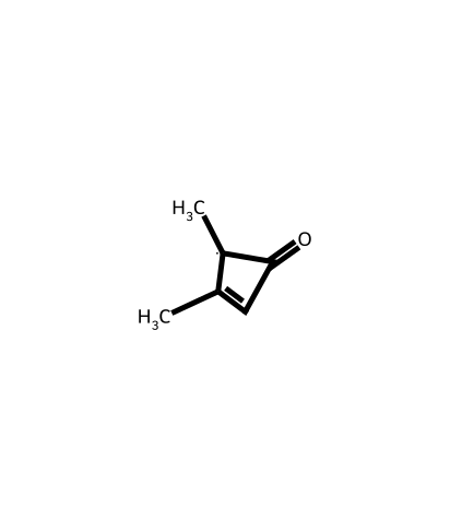 C[C]1C(=O)C=C1C